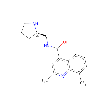 OC(NC[C@H]1CCCN1)c1cc(C(F)(F)F)nc2c(C(F)(F)F)cccc12